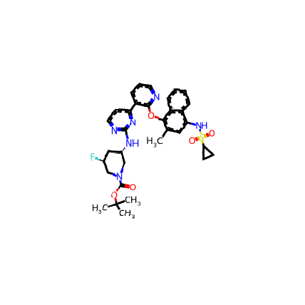 Cc1cc(NS(=O)(=O)C2CC2)c2ccccc2c1Oc1ncccc1-c1ccnc(N[C@H]2C[C@H](F)CN(C(=O)OC(C)(C)C)C2)n1